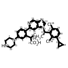 CC(C(=O)O)c1cc(N2CCNCC2)ccc1-c1cc2c(cn1)ncn2[C@H](C)c1c(Cl)ccc(C2CC2)c1Cl